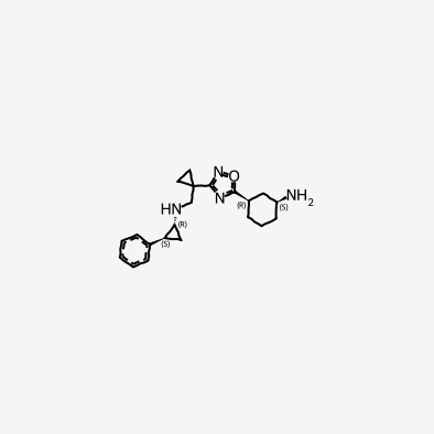 N[C@H]1CCC[C@@H](c2nc(C3(CN[C@@H]4C[C@H]4c4ccccc4)CC3)no2)C1